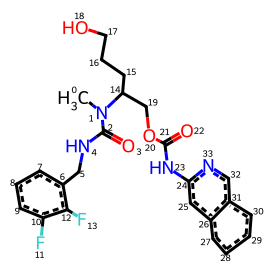 CN(C(=O)NCc1cccc(F)c1F)C(CCCO)COC(=O)Nc1cc2ccccc2cn1